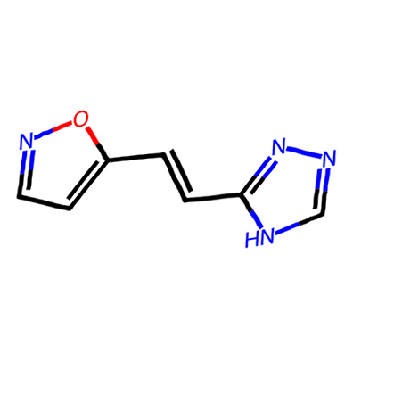 C(=Cc1ccno1)c1nnc[nH]1